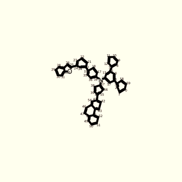 c1ccc(-c2cc(-c3ccccc3)cc(N(c3ccc(-c4cccc(-c5cc6ccccc6o5)c4)cc3)c3ccc(-c4ccc5c(ccc6ccccc65)c4)cc3)c2)cc1